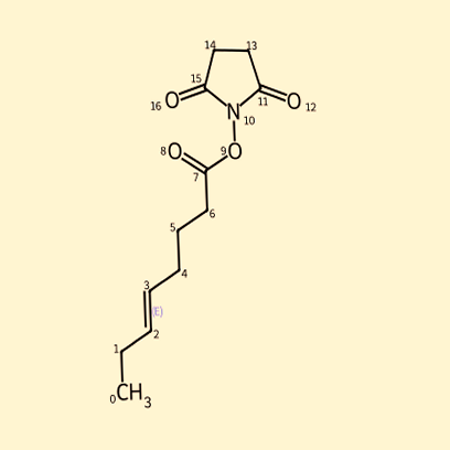 CC/C=C/CCCC(=O)ON1C(=O)CCC1=O